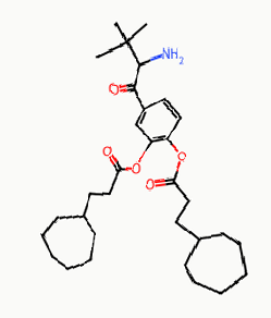 CC(C)(C)C(N)C(=O)c1ccc(OC(=O)CCC2CCCCCC2)c(OC(=O)CCC2CCCCCC2)c1